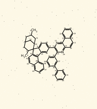 CC1CC2CC(C)C3(c4ccc(-c5nc6c(ccc7ccccc76)nc5-c5cccc(-c6ccccc6)c5)cc4-c4c3ccc3ccccc43)C(C1)C2